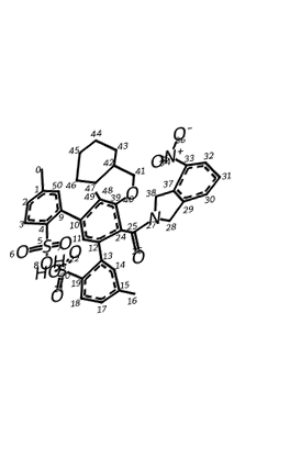 Cc1ccc(S(=O)(=O)O)c(-c2cc(-c3cc(C)ccc3S(=O)(=O)O)c(C(=O)N3Cc4cccc([N+](=O)[O-])c4C3)c(OCC3CCCCC3)c2C)c1